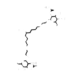 CC(=O)NC1C(O)[C@@H](O)C(CO)O[C@H]1OCCOCCCCC(C)CCCCOCCO[C@@H]1OC(CO)[C@H](O)C(O)[C@@H]1NC(C)=O